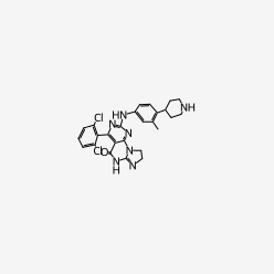 Cc1cc(Nc2nc(-c3c(Cl)cccc3Cl)c3c(n2)N2CCN=C2NC3=O)ccc1C1CCNCC1